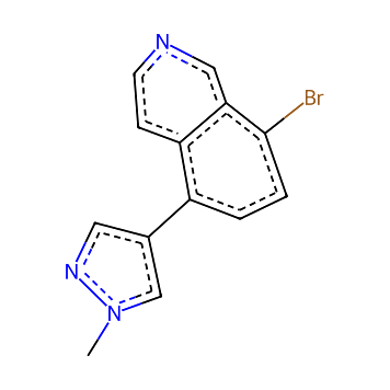 Cn1cc(-c2ccc(Br)c3cnccc23)cn1